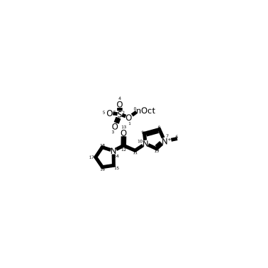 CCCCCCCCOS(=O)(=O)[O-].C[n+]1ccn(CC(=O)N2CCCC2)c1